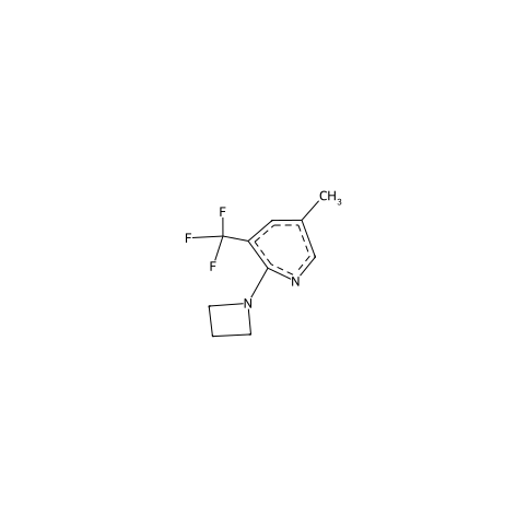 Cc1cnc(N2CCC2)c(C(F)(F)F)c1